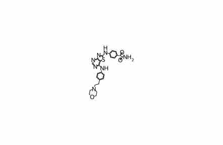 NS(=O)(=O)c1ccc(Nc2nc3ncnc(Nc4ccc(CCN5CCOCC5)cc4)c3s2)cc1